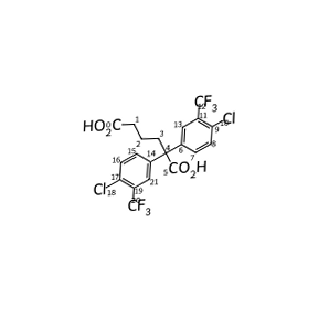 O=C(O)CCCC(C(=O)O)(c1ccc(Cl)c(C(F)(F)F)c1)c1ccc(Cl)c(C(F)(F)F)c1